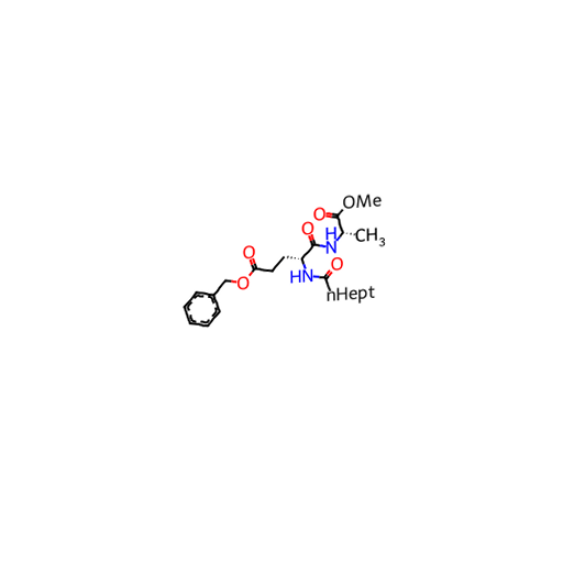 CCCCCCCC(=O)N[C@H](CCC(=O)OCc1ccccc1)C(=O)N[C@@H](C)C(=O)OC